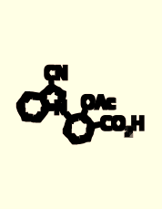 CC(=O)Oc1c(C(=O)O)cccc1-n1cc(C#N)c2ccccc21